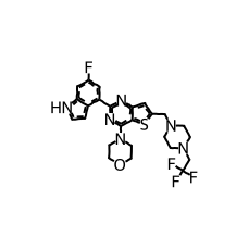 Fc1cc(-c2nc(N3CCOCC3)c3sc(CN4CCN(CC(F)(F)F)CC4)cc3n2)c2cc[nH]c2c1